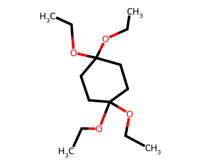 CCOC1(OCC)CCC(OCC)(OCC)CC1